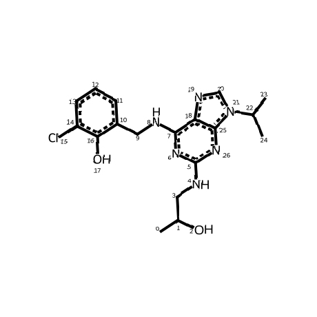 CC(O)CNc1nc(NCc2cccc(Cl)c2O)c2ncn(C(C)C)c2n1